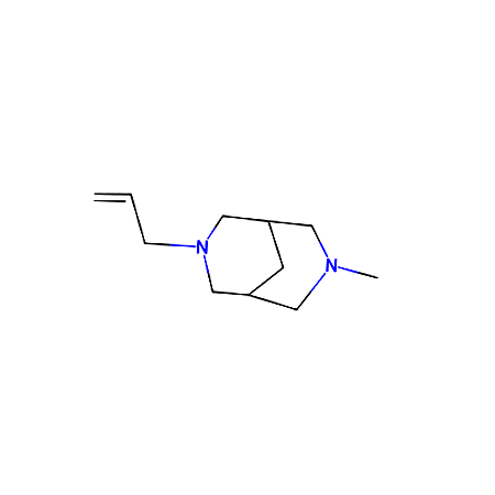 C=CCN1CC2CC(CN(C)C2)C1